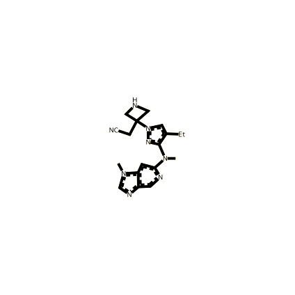 CCc1cn(C2(CC#N)CNC2)nc1N(C)c1cc2c(cn1)ncn2C